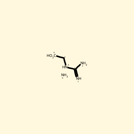 N.N=C(N)NCC(=O)O